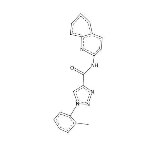 Cc1ccccc1-n1cc(C(=O)Nc2ccc3ccccc3n2)nn1